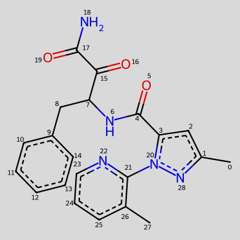 Cc1cc(C(=O)NC(Cc2ccccc2)C(=O)C(N)=O)n(-c2ncccc2C)n1